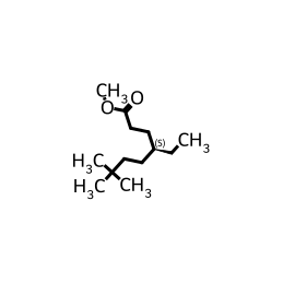 CC[C@H](CCC(=O)OC)CCC(C)(C)C